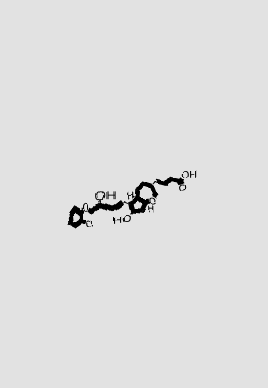 O=C(O)CCC[C@H]1CC[C@@H]2[C@@H](/C=C/[C@@H](O)COc3ccccc3Cl)[C@H](O)C[C@@H]2OC1